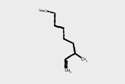 C=CC(C)CCCCCOC